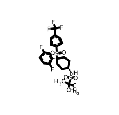 CC(C)(C)S(=O)(=O)N[C@H]1CC[C@@](c2cc(F)ccc2F)(S(=O)(=O)c2ccc(C(F)(F)F)cc2)CC1